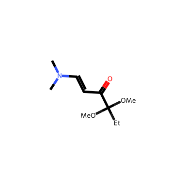 CCC(OC)(OC)C(=O)/C=C/N(C)C